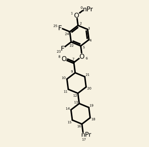 CCCOc1ccc(OC(=O)C2CCC(C3CCC(CCC)CC3)CC2)c(F)c1F